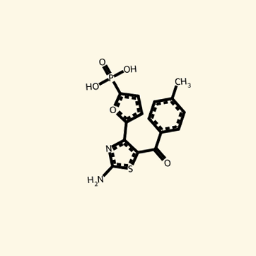 Cc1ccc(C(=O)c2sc(N)nc2-c2ccc(P(=O)(O)O)o2)cc1